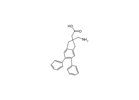 NCC1(CC(=O)O)Cc2cc(-c3ccccc3)c(-c3ccccc3)cc2C1